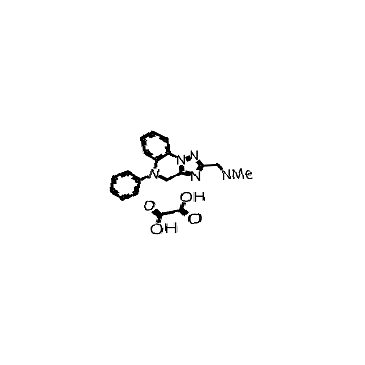 CNCc1nc2n(n1)-c1ccccc1N(c1ccccc1)C2.O=C(O)C(=O)O